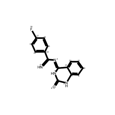 N=C(/N=c1\[nH]c(=O)[nH]c2ccccc12)c1ccc(F)cc1